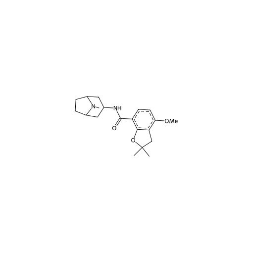 COc1ccc(C(=O)NC2CC3CCC(C2)N3C)c2c1CC(C)(C)O2